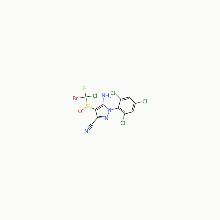 N#Cc1nn(-c2c(Cl)cc(Cl)cc2Cl)c(N)c1[S+]([O-])C(F)(Cl)Br